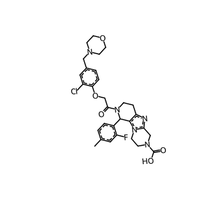 Cc1ccc(C2c3c(nc4n3CCN(C(=O)O)C4)CCN2C(=O)COc2ccc(CN3CCOCC3)cc2Cl)c(F)c1